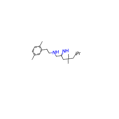 Cc1ccc(C)c(CCNCC(=N)CC(C)(C)CC(C)C)c1